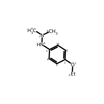 CCOc1ccc(NN(C)C)cc1